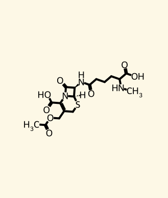 CNC(CCCC(=O)N[C@@H]1C(=O)N2C(C(=O)O)=C(COC(C)=O)CS[C@H]12)C(=O)O